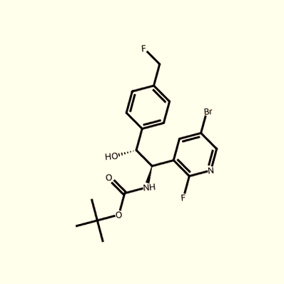 CC(C)(C)OC(=O)N[C@H](c1cc(Br)cnc1F)[C@H](O)c1ccc(CF)cc1